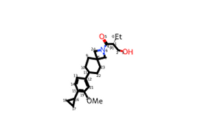 CC[C@H](CO)C(=O)N1CC2(CCC(c3ccc(C4CC4)c(OC)c3)CC2)C1